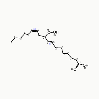 CCCCC/C=C\CC(/C=C/CCCCCCC(=O)O)OO